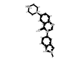 Cn1cc2cc(-n3cnc4ccc(N5CCNCC5)cc4c3=O)ccc2n1